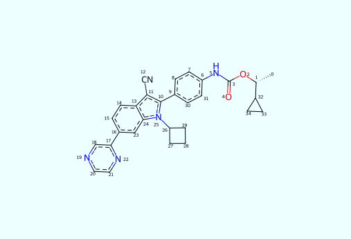 C[C@@H](OC(=O)Nc1ccc(-c2c(C#N)c3ccc(-c4cnccn4)cc3n2C2CCC2)cc1)C1CC1